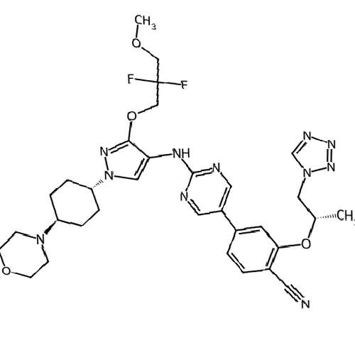 COCC(F)(F)COc1nn([C@H]2CC[C@H](N3CCOCC3)CC2)cc1Nc1ncc(-c2ccc(C#N)c(O[C@@H](C)Cn3cnnn3)c2)cn1